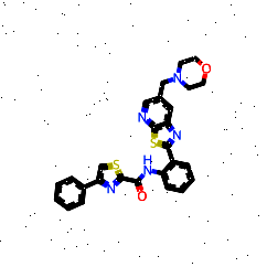 O=C(Nc1ccccc1-c1nc2cc(CN3CCOCC3)cnc2s1)c1nc(-c2ccccc2)cs1